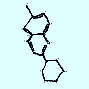 Cc1ccc2nc(C3CCCCC3)c[c]c2c1